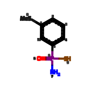 CSc1cccc(P(N)(=O)S)c1